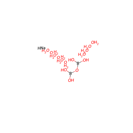 O.O.O.O.O.O.O.O.O.O.OB(O)OB(O)O.[NaH]